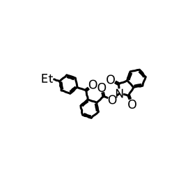 CCc1ccc(C(=O)c2ccccc2C(=O)ON2C(=O)c3ccccc3C2=O)cc1